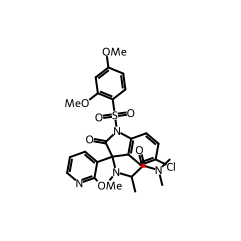 COc1ccc(S(=O)(=O)N2C(=O)C(c3cccnc3OC)(N(C)C(C)C(=O)N(C)C)c3cc(Cl)ccc32)c(OC)c1